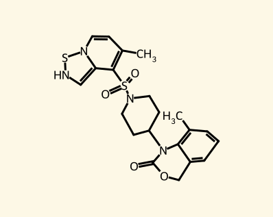 CC1=C(S(=O)(=O)N2CCC(N3C(=O)OCc4cccc(C)c43)CC2)C2=CNSN2C=C1